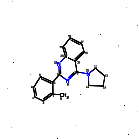 Cc1ccccc1-c1nc(N2CCCC2)c2ccccc2n1